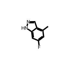 Cc1cc(F)cc2[nH]ncc12